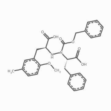 COc1ccc(C)cc1C[C@H](NN(C(=O)OCc1ccccc1)[C@@H](Cc1ccccc1)C(=O)O)C(=O)O